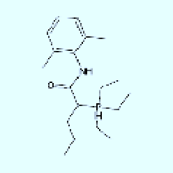 CCCC(C(=O)Nc1c(C)cccc1C)[PH](CC)(CC)CC